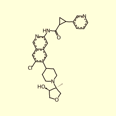 C[C@]1(N2CCC(c3cc4cc(NC(=O)C5CC5c5cccnc5)ncc4cc3Cl)CC2)COC[C@H]1O